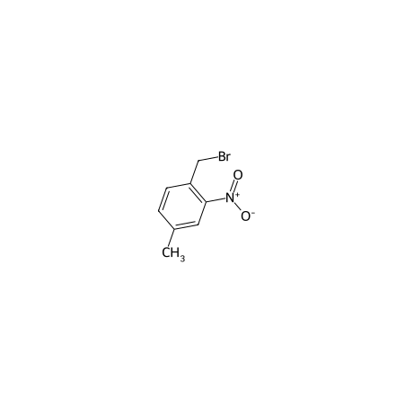 Cc1ccc(CBr)c([N+](=O)[O-])c1